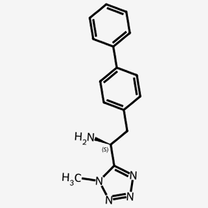 Cn1nnnc1[C@@H](N)Cc1ccc(-c2ccccc2)cc1